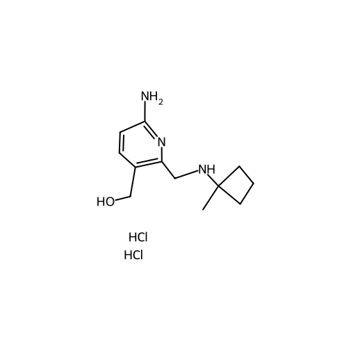 CC1(NCc2nc(N)ccc2CO)CCC1.Cl.Cl